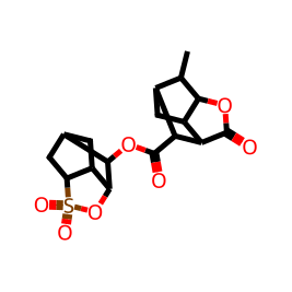 CC1C2CC3C1OC(=O)C3C2C(=O)OC1C2CC3C1OS(=O)(=O)C3C2